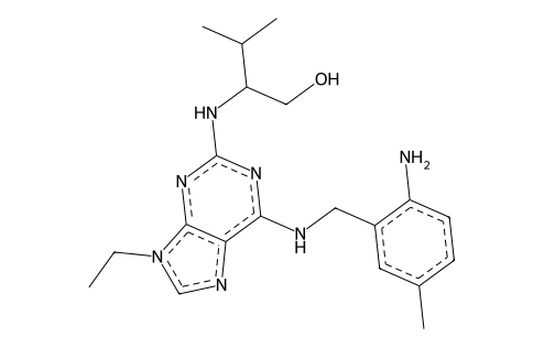 CCn1cnc2c(NCc3cc(C)ccc3N)nc(NC(CO)C(C)C)nc21